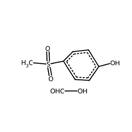 CS(=O)(=O)c1ccc(O)cc1.O=CO